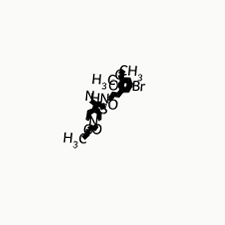 CCOC(=O)N1CCc2c(sc(NC(=O)CCc3cc(Br)cc(OC)c3OC)c2C#N)C1